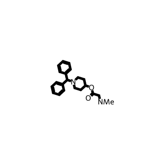 CNCC(=O)OC1CCN(C(c2ccccc2)c2ccccc2)CC1